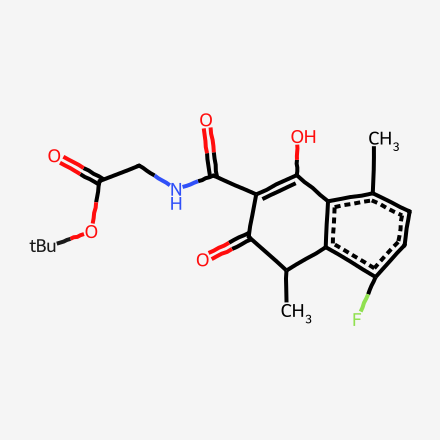 Cc1ccc(F)c2c1C(O)=C(C(=O)NCC(=O)OC(C)(C)C)C(=O)C2C